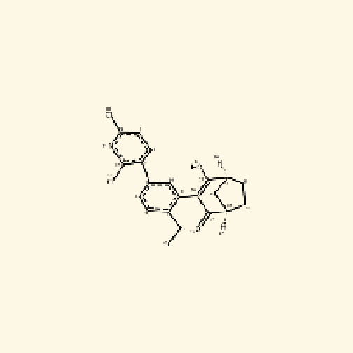 CCc1ccc(-c2ccc(Cl)nc2Cl)cc1C1=C(O)[C@H]2CC[C@H](C2)C1=O